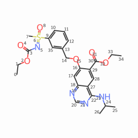 CCOC(=O)N=S(C)(=O)c1cccc(COc2cc3ncnc(NC(C)C)c3cc2C(=O)OCC)c1